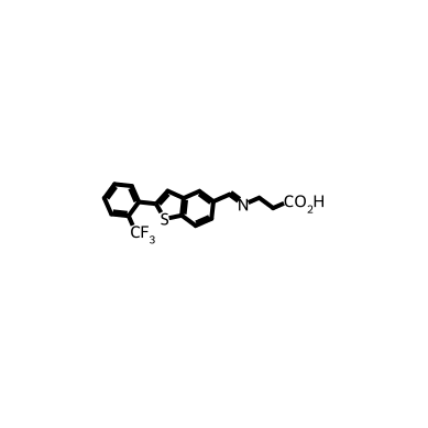 O=C(O)CCN=Cc1ccc2sc(-c3ccccc3C(F)(F)F)cc2c1